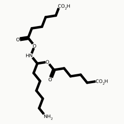 NCCCCCC(NOC(=O)CCCCC(=O)O)OC(=O)CCCCC(=O)O